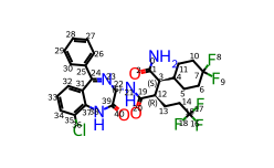 NC(=O)[C@@H](C1CCC(F)(F)CC1)[C@@H](CCC(F)(F)F)C(=O)N[C@H]1N=C(c2ccccc2)c2cccc(Cl)c2NC1=O